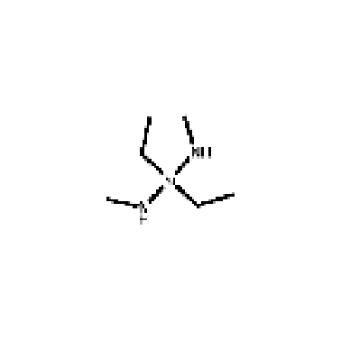 CC[Si](CC)(NC)NC